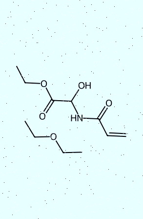 C=CC(=O)NC(O)C(=O)OCC.CCOCC